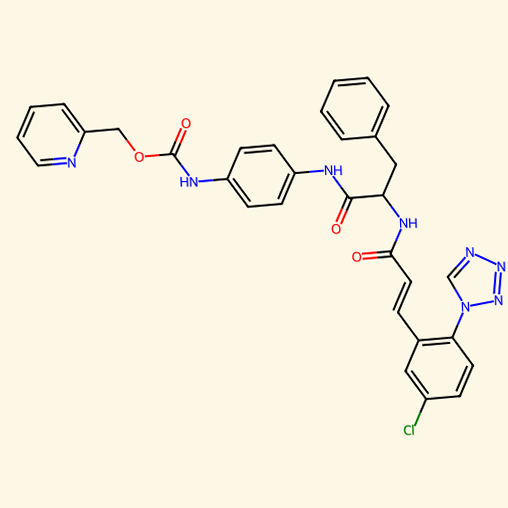 O=C(C=Cc1cc(Cl)ccc1-n1cnnn1)NC(Cc1ccccc1)C(=O)Nc1ccc(NC(=O)OCc2ccccn2)cc1